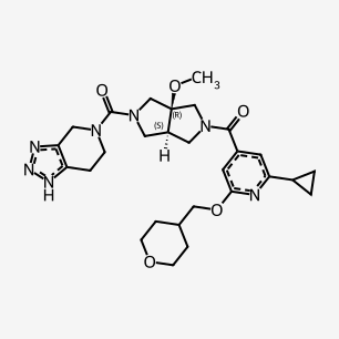 CO[C@@]12CN(C(=O)c3cc(OCC4CCOCC4)nc(C4CC4)c3)C[C@H]1CN(C(=O)N1CCc3[nH]nnc3C1)C2